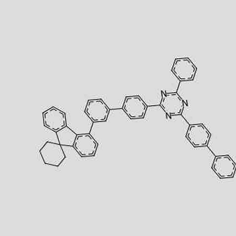 c1ccc(-c2ccc(-c3nc(-c4ccccc4)nc(-c4ccc(-c5cccc(-c6cccc7c6-c6ccccc6C76CCCCC6)c5)cc4)n3)cc2)cc1